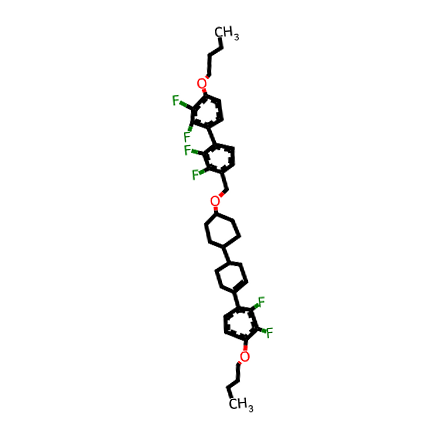 CCCCOc1ccc(C2=CCC(C3CCC(OCc4ccc(-c5ccc(OCCCC)c(F)c5F)c(F)c4F)CC3)CC2)c(F)c1F